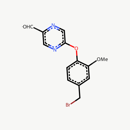 COc1cc(CBr)ccc1Oc1cnc([C]=O)cn1